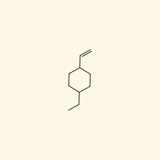 C=CC1CCC(CC)CC1